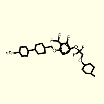 CCCC1CCC(C2CCC(COc3ccc(OC(F)(F)COC4CCC(C)CC4)c(F)c3C(F)F)CC2)CC1